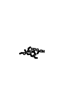 CCO[Si](C)(CCCN(CC)[C@@H](CC(=O)O)C(=O)O)OCC